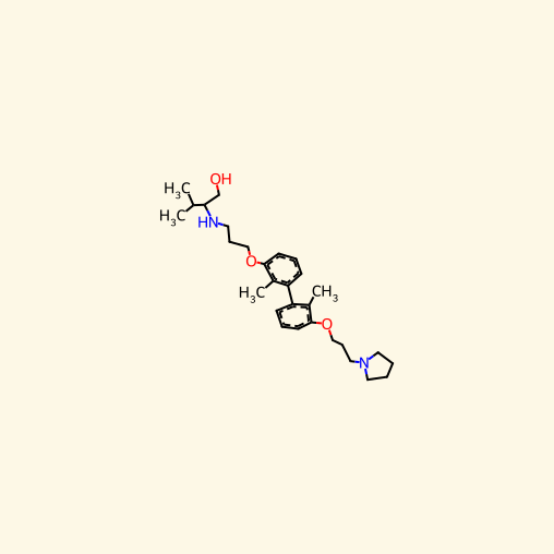 Cc1c(OCCCNC(CO)C(C)C)cccc1-c1cccc(OCCCN2CCCC2)c1C